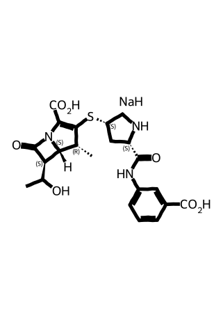 CC(O)[C@H]1C(=O)N2C(C(=O)O)=C(S[C@@H]3CN[C@H](C(=O)Nc4cccc(C(=O)O)c4)C3)[C@H](C)[C@H]12.[NaH]